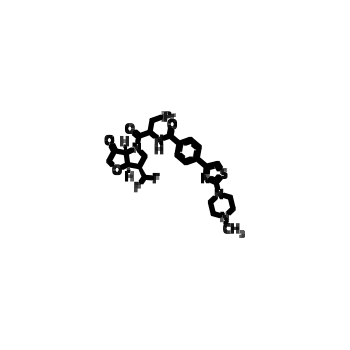 CC(C)CC(NC(=O)c1ccc(-c2csc(N3CCN(C)CC3)n2)cc1)C(=O)N1C[C@@H](C(F)F)[C@H]2OCC(=O)[C@H]21